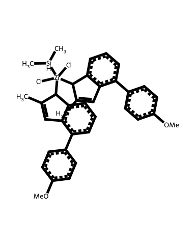 COc1ccc(-c2cccc3c2C=C(C)[CH]3[Zr]([Cl])([Cl])([CH]2C(C)=Cc3c(-c4ccc(OC)cc4)cccc32)[SiH](C)C)cc1